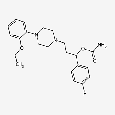 CCOc1ccccc1N1CCN(CCC(OC(N)=O)c2ccc(F)cc2)CC1